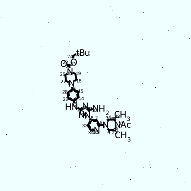 CC(=O)N1[C@H](C)CN(c2cc(-n3nc(Nc4ccc(N5CCN(C(=O)OCC(C)(C)C)CC5)cc4)nc3N)ccn2)C[C@@H]1C